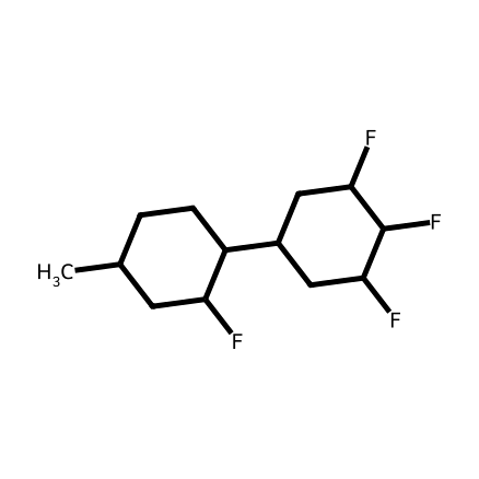 CC1CCC(C2CC(F)C(F)C(F)C2)C(F)C1